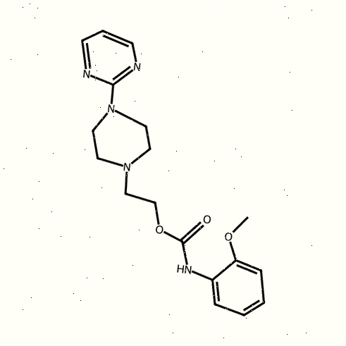 COc1ccccc1NC(=O)OCCN1CCN(c2ncccn2)CC1